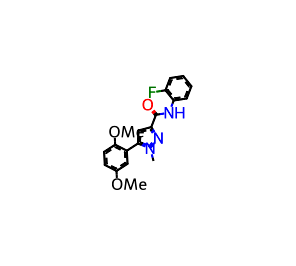 COc1ccc(OC)c(-c2cc(C(=O)Nc3ccccc3F)nn2C)c1